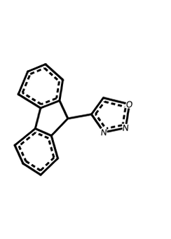 c1ccc2c(c1)-c1ccccc1C2c1conn1